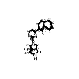 c1ccc2cc(-c3ccnc(N4CC5CNC[C@H]5C4)n3)ccc2c1